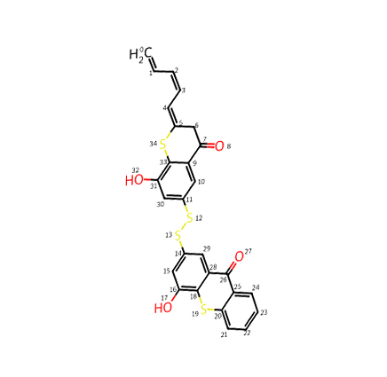 C=C/C=C\C=C1/CC(=O)c2cc(SSc3cc(O)c4sc5ccccc5c(=O)c4c3)cc(O)c2S1